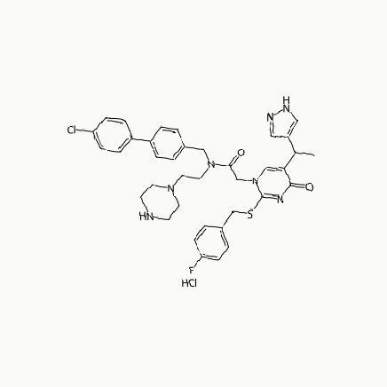 CC(c1cn[nH]c1)c1cn(CC(=O)N(CCN2CCNCC2)Cc2ccc(-c3ccc(Cl)cc3)cc2)c(SCc2ccc(F)cc2)nc1=O.Cl